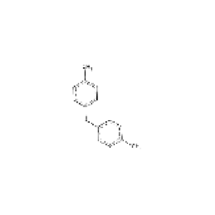 Cc1ccc([CH]c2ccc(C)cc2)cc1